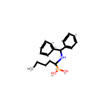 CCCCC(NC(c1ccccc1)c1ccccc1)P(O)O